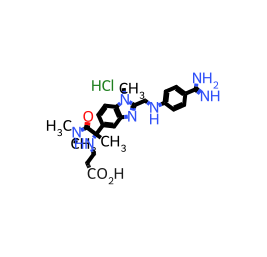 CN(C)C(=O)C(C)(NCCC(=O)O)c1ccc2c(c1)nc(CNc1ccc(C(=N)N)cc1)n2C.Cl